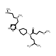 CNCCN(C)Cc1c[nH]nc1[C@H]1CC[C@@H](N(CCC(C)C)C(=O)CCOC)CC1